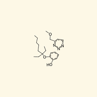 CCCCCC(CC)(CC)Oc1ccccc1O.COCc1ccnnn1